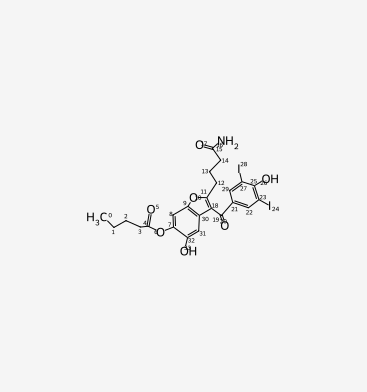 CCCCC(=O)Oc1cc2oc(CCCC(N)=O)c(C(=O)c3cc(I)c(O)c(I)c3)c2cc1O